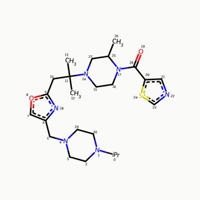 CC(C)N1CCN(Cc2coc(CC(C)(C)N3CCN(C(=O)c4cncs4)C(C)C3)n2)CC1